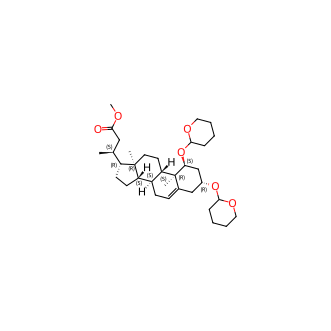 COC(=O)C[C@H](C)[C@H]1CC[C@H]2[C@@H]3CC=C4C[C@@H](OC5CCCCO5)C[C@H](OC5CCCCO5)[C@]4(C)[C@H]3CC[C@]12C